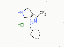 Cl.FC(F)(F)c1nn(CC2CCCCC2)c2c1CCNC2